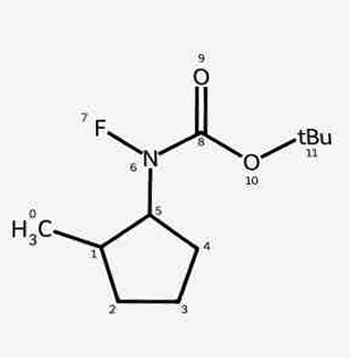 CC1CCCC1N(F)C(=O)OC(C)(C)C